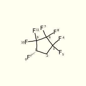 F[C@H]1CC(F)(F)C(F)(F)C1(F)F